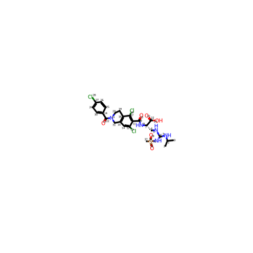 CC(C)NC(NC[C@H](NC(=O)c1c(Cl)cc2c(c1Cl)CCN(C(=O)c1ccc(Cl)cc1)C2)C(=O)O)NS(C)(=O)=O